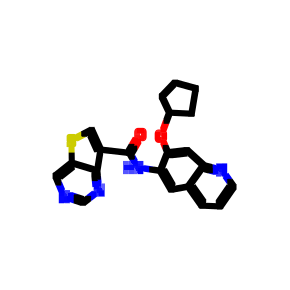 O=C(Nc1cc2cccnc2cc1OC1CCCC1)c1csc2cncnc12